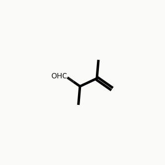 C=C(C)C(C)C=O